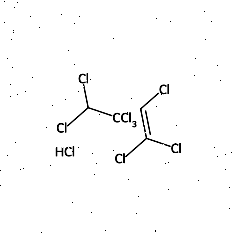 Cl.ClC(Cl)C(Cl)(Cl)Cl.ClC=C(Cl)Cl